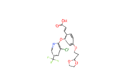 O=C(O)C=Cc1ccc(OCCC2OCCO2)cc1Oc1ncc(C(F)(F)F)cc1Cl